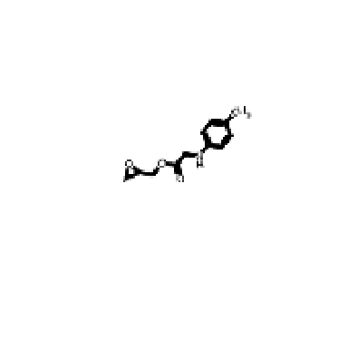 Cc1ccc(NCC(=O)OCC2CO2)cc1